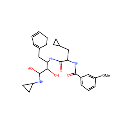 COc1cccc(C(=O)NC(CC2CC2)C(=O)NC(CC2=CC=CCC2)C(O)C(O)NC2CC2)c1